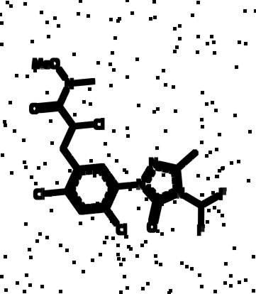 CON(C)C(=O)C(Cl)Cc1cc(-n2nc(C)n(C(F)F)c2=O)c(Cl)cc1Cl